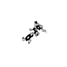 COc1ccc(CNc2ncnc3c2c(Br)cn3[C@@H]2C[C@H](C(=O)O)[C@H]3OC(C)(C)O[C@H]32)c(OC)c1